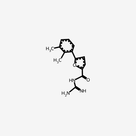 Cc1cccc(-c2ccc(C(=O)NC(=N)N)o2)c1C